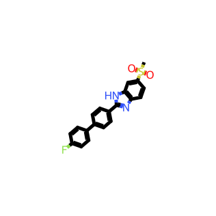 CS(=O)(=O)c1ccc2nc(-c3ccc(-c4ccc(F)cc4)cc3)[nH]c2c1